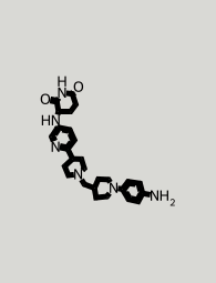 Nc1ccc(N2CCC(CN3CCC(c4ccc(NC5CCC(=O)NC5=O)cn4)CC3)CC2)cc1